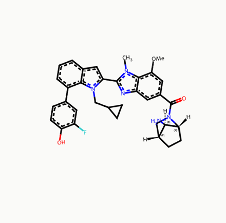 COc1cc(C(=O)N2C[C@H]3CC[C@@H]2[C@@H]3N)cc2nc(-c3cc4cccc(-c5ccc(O)c(F)c5)c4n3CC3CC3)n(C)c12